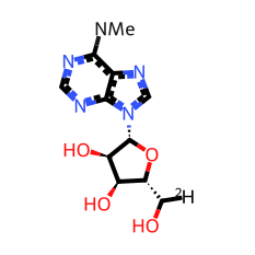 [2H]C(O)[C@H]1O[C@@H](n2cnc3c(NC)ncnc32)[C@H](O)[C@@H]1O